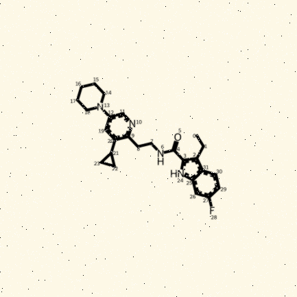 CCc1c(C(=O)NCCc2ncc(N3CCCCC3)cc2C2CC2)[nH]c2cc(F)ccc12